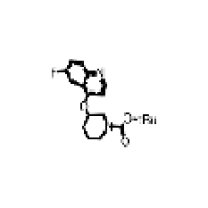 CC(C)(C)OC(=O)N1CCCC(Oc2ccnc3ccc(F)cc23)C1